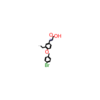 [CH2]Cc1cc(/C=C/C(=O)O)ccc1OCc1ccc(Br)cc1